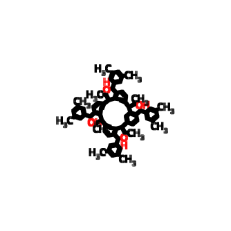 CCC1c2ccc(C(O)c3cc(C)cc(C)c3)c(c2)C(CC)c2ccc(C(O)c3cc(C)cc(C)c3)c(c2)C(CC)c2ccc(C(O)c3cc(C)cc(C)c3)c(c2)C(CC)c2ccc(C(O)c3cc(C)cc(C)c3)c1c2